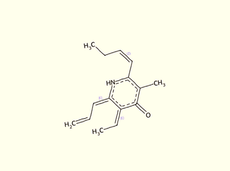 C=C/C=c1/[nH]c(/C=C\CC)c(C)c(=O)/c1=C/C